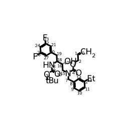 C=CCOC(=O)N(Cc1cccc(CC)c1)C[C@@H](O)C(Cc1cc(F)cc(F)c1)NC(=O)OC(C)(C)C